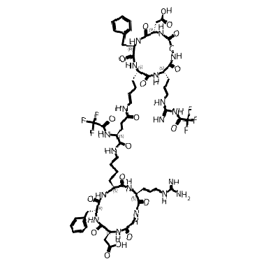 N=C(N)NCCC[C@@H]1NC(=O)[C@H](CCCCNC(=O)[C@H](CCC(=O)NCCCC[C@@H]2NC(=O)[C@@H](Cc3ccccc3)NC(=O)[C@H](CC(=O)O)NC(=O)CNC(=O)[C@H](CCCNC(=N)NC(=O)C(F)(F)F)NC2=O)NC(=O)C(F)(F)F)NC(=O)[C@@H](Cc2ccccc2)NC(=O)[C@H](CC(=O)O)NC(=O)CNC1=O